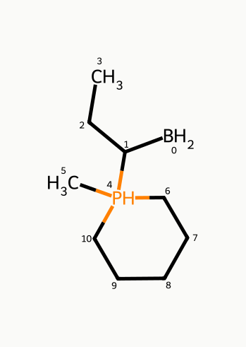 BC(CC)[PH]1(C)CCCCC1